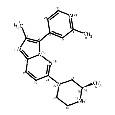 Cc1cc(-c2c(C)nc3ccc(N4CCN[C@H](C)C4)nn23)ccn1